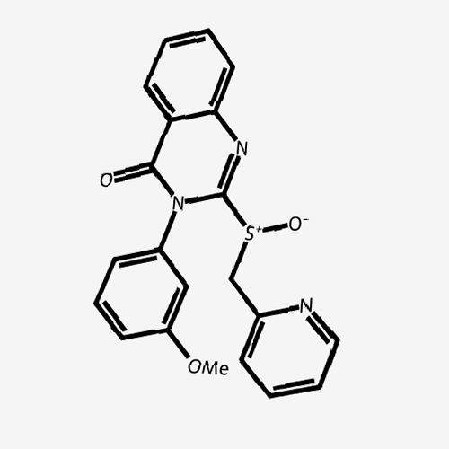 COc1cccc(-n2c([S+]([O-])Cc3ccccn3)nc3ccccc3c2=O)c1